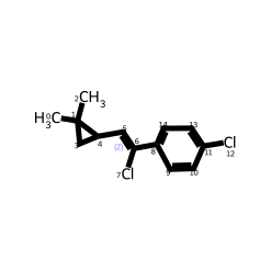 CC1(C)CC1/C=C(\Cl)c1ccc(Cl)cc1